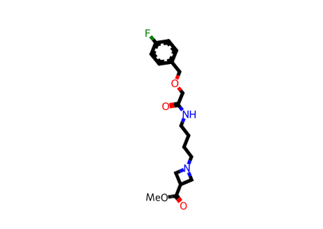 COC(=O)C1CN(CCCCNC(=O)COCc2ccc(F)cc2)C1